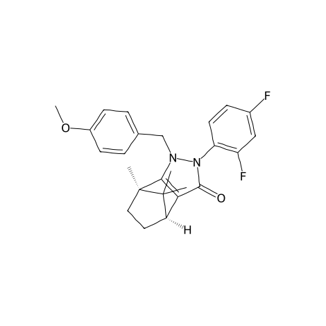 COc1ccc(Cn2c3c(c(=O)n2-c2ccc(F)cc2F)[C@H]2CC[C@]3(C)C2(C)C)cc1